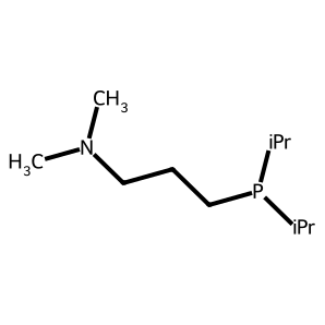 CC(C)P(CCCN(C)C)C(C)C